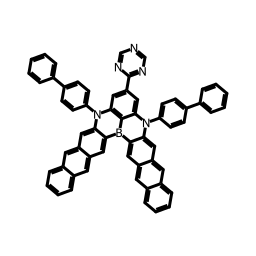 c1ccc(-c2ccc(N3c4cc5cc6ccccc6cc5cc4B4c5cc6cc7ccccc7cc6cc5N(c5ccc(-c6ccccc6)cc5)c5cc(-c6ncncn6)cc3c54)cc2)cc1